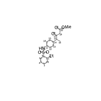 CCc1ccccc1S(=O)(=O)Nc1ccc(C(C)C(=O)CC(=O)OC)cc1